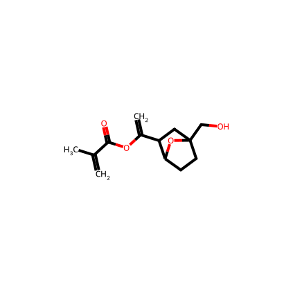 C=C(C)C(=O)OC(=C)C1CC2(CO)CCC1O2